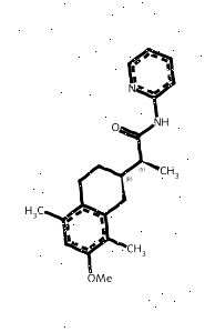 COc1cc(C)c2c(c1C)C[C@H]([C@H](C)C(=O)Nc1ccccn1)CC2